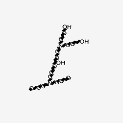 COCCOCOCCN(CCOCOCCOC)CCOCOCCOCC(O)COCCOCCN(CCOCCOCCO)CCOCOCCCO